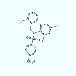 O=C(O)c1ccc(S(=O)(=O)N(Cc2ccccc2C(F)(F)F)c2ncc(Cl)cc2Cl)cc1